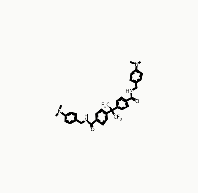 CN(C)c1ccc(CNC(=O)c2ccc(C(c3ccc(C(=O)NCc4ccc(N(C)C)cc4)cc3)(C(F)(F)F)C(F)(F)F)cc2)cc1